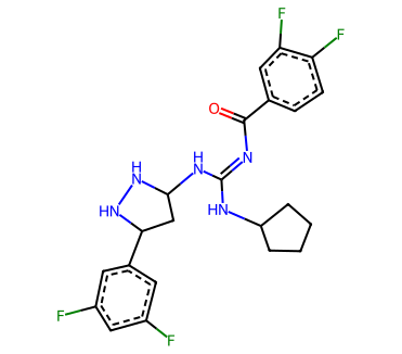 O=C(/N=C(/NC1CCCC1)NC1CC(c2cc(F)cc(F)c2)NN1)c1ccc(F)c(F)c1